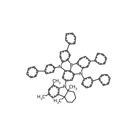 Cc1cc(C)c2c(c1)C1(C)CCCCC1(C)N2c1cc2c3c(c1)N(c1cccc(-c4ccccc4)c1)c1cc(-c4ccccc4)ccc1B3c1cc(-c3ccccc3)ccc1N2c1ccc(-c2ccccc2)cc1